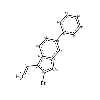 C=Cc1c(CC)oc2cc(-c3ccccc3)ccc12